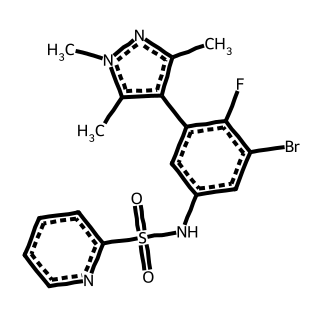 Cc1nn(C)c(C)c1-c1cc(NS(=O)(=O)c2ccccn2)cc(Br)c1F